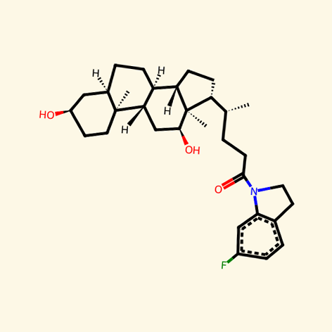 C[C@H](CCC(=O)N1CCc2ccc(F)cc21)[C@H]1CC[C@H]2[C@@H]3CC[C@@H]4C[C@H](O)CC[C@]4(C)[C@H]3C[C@H](O)[C@]12C